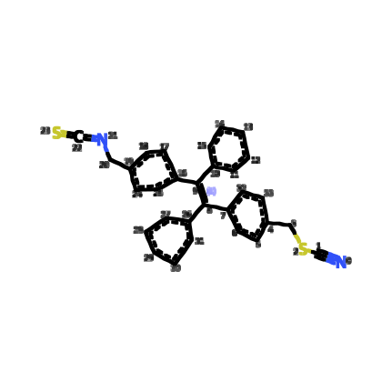 N#CSCc1ccc(/C(=C(\c2ccccc2)c2ccc(CN=C=S)cc2)c2ccccc2)cc1